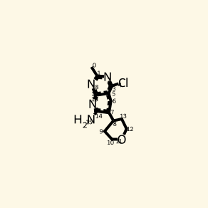 Cc1nc(Cl)c2cc(C3CCOCC3)c(N)nc2n1